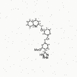 COc1cc(COc2cccc(OCc3ccc4ccccc4n3)c2)ccc1-c1nnn[nH]1